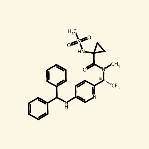 CN(C(=O)C1(NS(C)(=O)=O)CC1)[C@@H](c1ccc(NC(c2ccccc2)c2ccccc2)cn1)C(F)(F)F